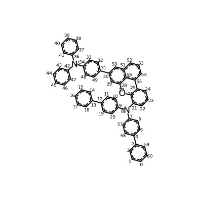 c1ccc(-c2ccc(N(c3ccc(-c4ccccc4)cc3)c3cccc4c3Oc3cc(-c5ccc(N(c6ccccc6)c6ccccc6)cc5)cc5cccc-4c35)cc2)cc1